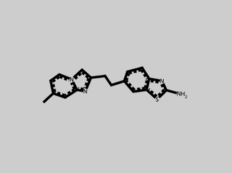 Cc1ccn2cc(CCc3ccc4nc(N)sc4c3)nc2c1